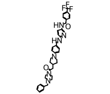 O=C(Nc1ccc(NCc2ccc(N3CCC(CC(=O)N4CCN(Cc5ccccc5)CC4)CC3)cc2)nc1)c1ccc(C(F)(F)F)cc1